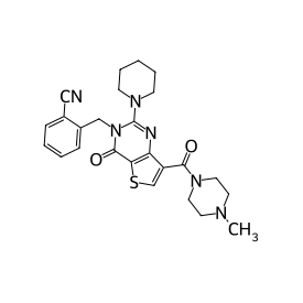 CN1CCN(C(=O)c2csc3c(=O)n(Cc4ccccc4C#N)c(N4CCCCC4)nc23)CC1